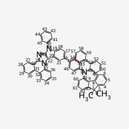 CC1(C)c2ccccc2-c2c(N(c3ccc(-c4ccc5c(c4)c4c(nc6c7ccccc7c7ccccc7n64)n5-c4ccccc4)cc3)c3ccccc3-c3ccccc3)cccc21